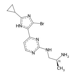 C[C@H](N)CNc1nccc(-c2[nH]c(C3CC3)nc2Br)n1